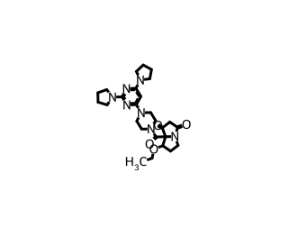 CCOC1CCN2C(=O)CC(=O)C12C(=O)N1CCN(c2cc(N3CCCC3)nc(N3CCCC3)n2)CC1